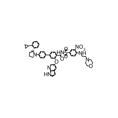 O=C(NS(=O)(=O)c1ccc(NCCN2CCOCC2)c([N+](=O)[O-])c1)c1ccc(-c2ccc(N3CCC[C@@H]3c3ccccc3C3CC3)cc2)cc1Oc1cnc2[nH]ccc2c1